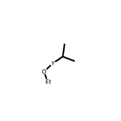 CC[O][Y][CH](C)C